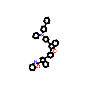 c1ccc(-c2ccc(N(c3ccccc3)c3ccc(-c4cc5c6cc(-c7ccc(-c8nc9ccccc9o8)c8ccccc78)ccc6oc5c5ccccc45)cc3)cc2)cc1